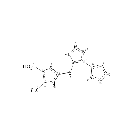 O=C(O)c1sc(Sc2nnnn2-c2cccs2)nc1C(F)(F)F